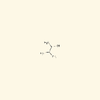 CC(C)[C@H](C)C#N